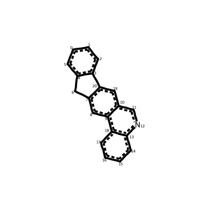 c1ccc2c(c1)Cc1cc3c(cnc4ccccc43)cc1-2